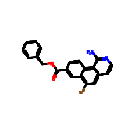 Nc1nccc2cc(Br)c3cc(C(=O)OCc4ccccc4)ccc3c12